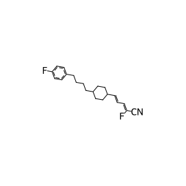 N#CC(F)=CC=CC1CCC(CCCCc2ccc(F)cc2)CC1